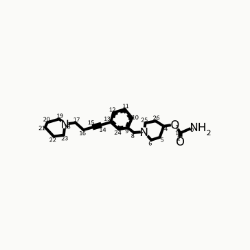 NC(=O)OC1CCN(Cc2cccc(C#CCCN3CCCCC3)c2)CC1